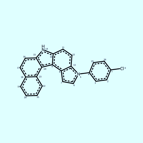 Clc1ccc(-n2ccc3c4c(ccc32)[nH]c2ccc3ccccc3c24)cc1